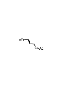 [CH2]C(=O)OC/C=C/CCC